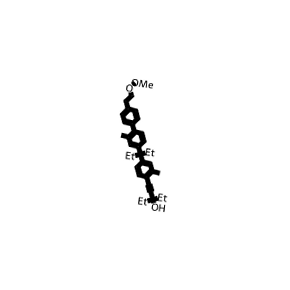 CCC(O)(C#Cc1ccc(C(CC)(CC)c2ccc(-c3ccc(CCOOC)cc3)c(C)c2)cc1C)CC